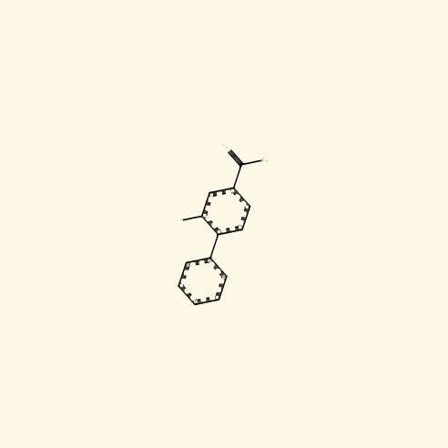 N=C(N)c1ccc(-c2ccccc2)c(O)c1